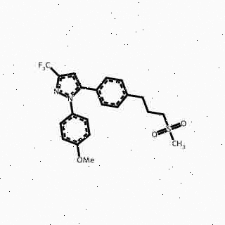 COc1ccc(-n2nc(C(F)(F)F)cc2-c2ccc(CCCS(C)(=O)=O)cc2)cc1